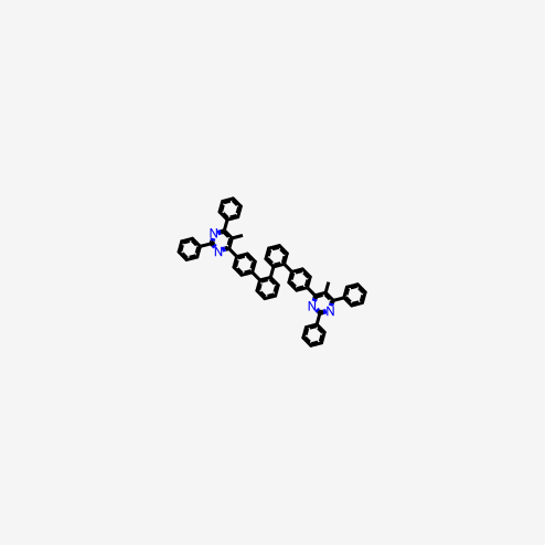 Cc1c(-c2ccccc2)nc(-c2ccccc2)nc1-c1ccc(-c2ccccc2-c2ccccc2-c2ccc(-c3nc(-c4ccccc4)nc(-c4ccccc4)c3C)cc2)cc1